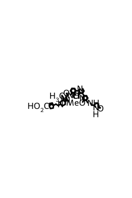 COc1nc(-c2ccnc(-c3cccc(NC(=O)c4nc5c(n4C)CN(CCC46CCC(C(=O)O)(CC4)C6)CC5)c3Cl)c2Cl)ccc1CNCC1CCC(=O)N1